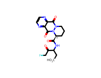 O=C(O)CC(NC(=O)[C@@H]1CCCn2c(=O)c3nccnc3c(=O)n21)C(=O)CF